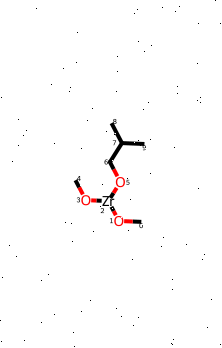 C[O][Zr]([O]C)[O]CC(C)C